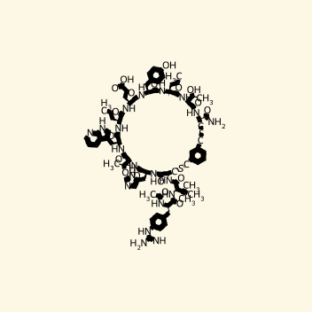 CCC[C@@H]1NC(=O)[C@H](Cc2c[nH]c3ncccc23)NC(=O)[C@H]([C@@H](C)O)NC(=O)[C@H](Cc2cnc[nH]2)NC(=O)[C@@H](NC(=O)[C@@H](NC(=O)[C@H](Cc2ccc(NC(=N)N)cc2)NC(C)=O)C(C)(C)C)CSCc2cccc(c2)CSC[C@@H](C(N)=O)NC(=O)[C@H]([C@@H](C)O)NC(=O)[C@H](CCC)NC(=O)[C@H](Cc2ccc(O)cc2)NC(=O)[C@H](CCC(=O)O)NC1=O